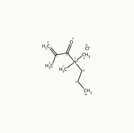 C=C(C)C(=O)[N+](C)(C)CCC.[Cl-]